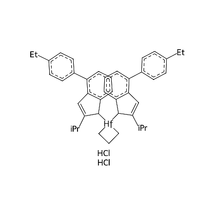 CCc1ccc(-c2cccc3c2C=C(C(C)C)[CH]3[Hf]2([CH]3C(C(C)C)=Cc4c(-c5ccc(CC)cc5)cccc43)[CH2]C[CH2]2)cc1.Cl.Cl